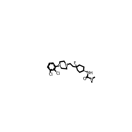 CN(C)C(=O)N[C@H]1CC[C@](F)(CCN2CCN(c3cccc(Cl)c3Cl)CC2)CC1